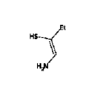 CC/C(S)=C/N